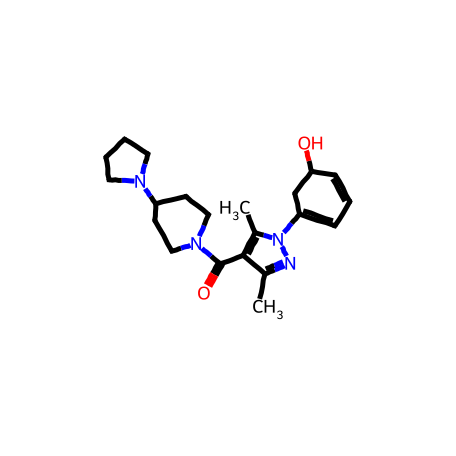 Cc1nn(C2=CC=CC(O)C2)c(C)c1C(=O)N1CCC(N2CCCC2)CC1